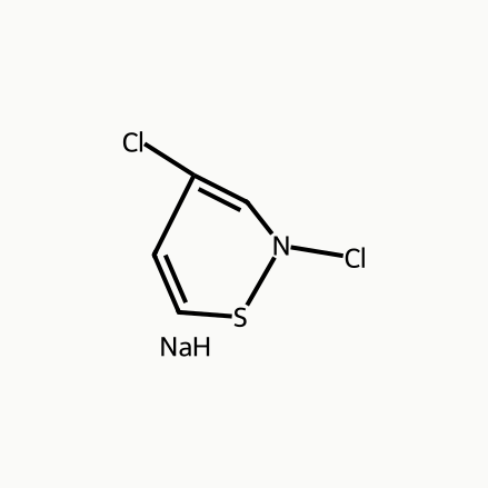 ClC1=CN(Cl)SC=C1.[NaH]